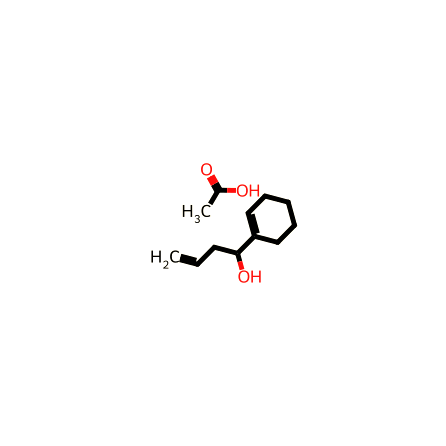 C=CCC(O)C1=CCCCC1.CC(=O)O